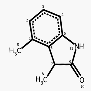 Cc1cccc2c1C(C)C(=O)N2